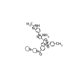 Cc1ccc(S(=O)(=O)n2c(C(=O)c3cnn(-c4ccc5[nH]c(C)nc5c4)c3N)cc3cc(C(=O)N4CCC(N5CCCCC5)CC4)ccc32)cc1